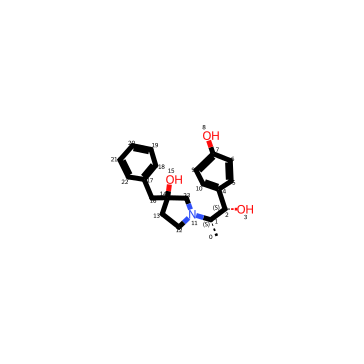 C[C@@H]([C@@H](O)c1ccc(O)cc1)N1CCC(O)(Cc2ccccc2)C1